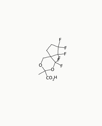 CC1(C(=O)O)OCC2(CCC(F)(F)C2(F)F)C(F)(F)O1